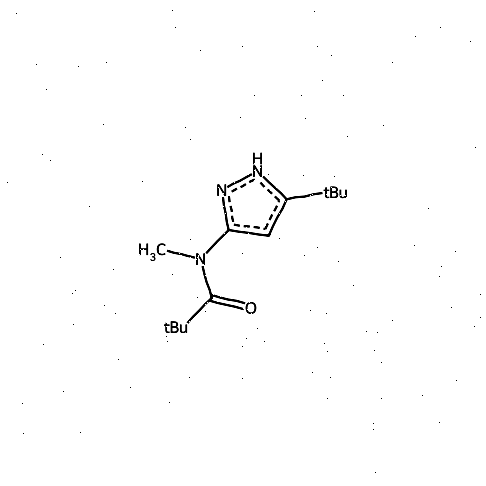 CN(C(=O)C(C)(C)C)c1cc(C(C)(C)C)[nH]n1